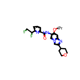 CC(C)Oc1cc2nc(C3CCOCC3)cn2cc1NC(=O)c1cccc(C(F)CF)n1